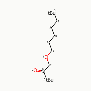 CC(C)(C)CCCCCOCC(=O)C(C)(C)C